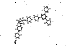 N#Cc1ccc(-c2ccc(C34CC5CC3CC(c3ccc(-c6ccc(-c7nc(-c8ccncc8)nc(-c8ccncc8)n7)cc6)cc3)(C5)C4)cc2)cc1